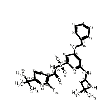 CC1(C)CC(Nc2cc(OCc3ccccc3)cc(S(=O)(=O)NC(=O)c3ccc(C(C)(C)C)nc3F)n2)N1